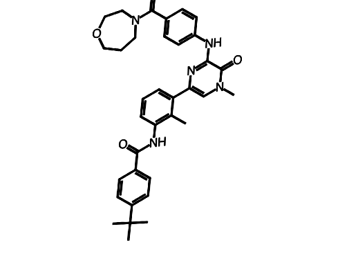 Cc1c(NC(=O)c2ccc(C(C)(C)C)cc2)cccc1-c1cn(C)c(=O)c(Nc2ccc(C(=O)N3CCCOCC3)cc2)n1